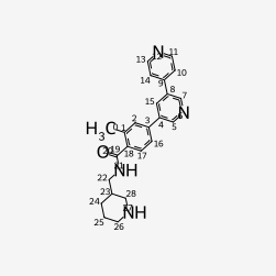 Cc1cc(-c2cncc(-c3ccncc3)c2)ccc1C(=O)NCC1CCCNC1